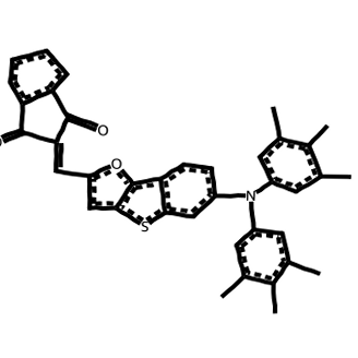 Cc1cc(N(c2cc(C)c(C)c(C)c2)c2ccc3c(c2)sc2cc(C=C4C(=O)c5ccccc5C4=O)oc23)cc(C)c1C